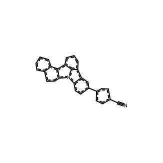 N#Cc1ccc(-c2ccc3c(c2)c2cccc4c5c6ccccc6ccc5n3c24)cc1